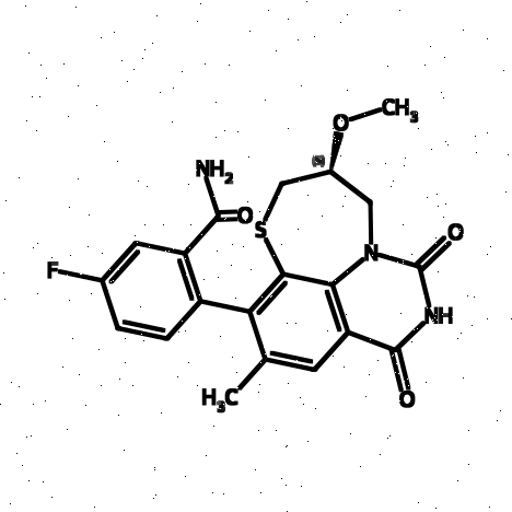 CO[C@@H]1CSc2c(-c3ccc(F)cc3C(N)=O)c(C)cc3c(=O)[nH]c(=O)n(c23)C1